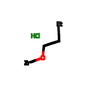 CCCC[O][Zr].Cl